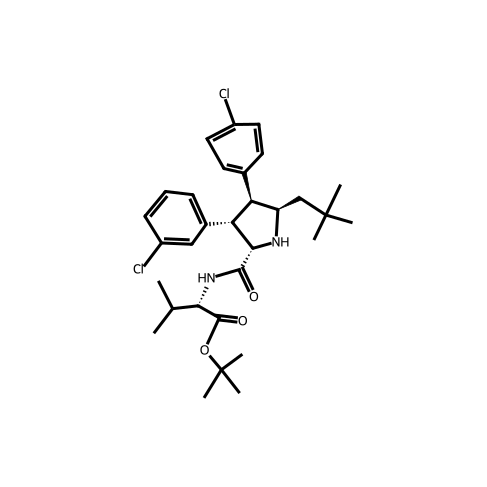 CC(C)[C@H](NC(=O)[C@H]1N[C@H](CC(C)(C)C)[C@H](c2ccc(Cl)cc2)[C@H]1c1cccc(Cl)c1)C(=O)OC(C)(C)C